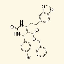 O=C1NC(CCc2ccc3c(c2)OCO3)=C(C(=O)OCc2ccccc2)C(c2ccc(Br)cc2)N1